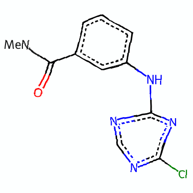 CNC(=O)c1cccc(Nc2ncnc(Cl)n2)c1